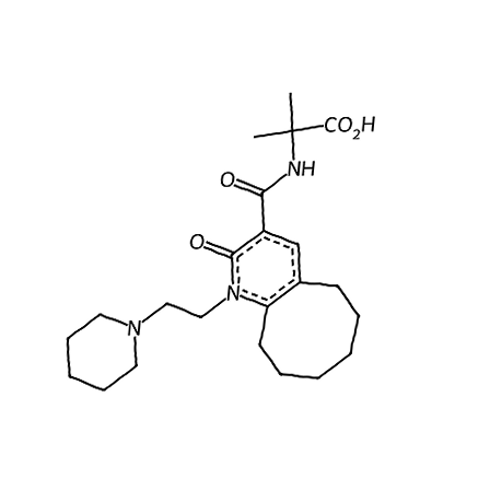 CC(C)(NC(=O)c1cc2c(n(CCN3CCCCC3)c1=O)CCCCCC2)C(=O)O